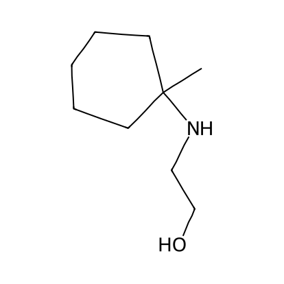 CC1(NCCO)CCCCC1